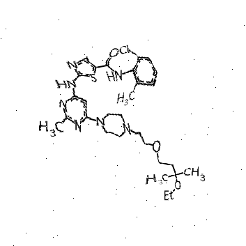 CCOC(C)(C)CCOCCN1CCN(c2cc(Nc3ncc(C(=O)Nc4c(C)cccc4Cl)s3)nc(C)n2)CC1